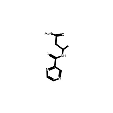 CNC(=O)CC(C)NC(=O)c1cnccn1